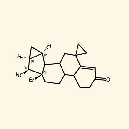 CC[C@]12CCC3C4CCC(=O)C=C4C4(CC4)CC3C1[C@@H]1C[C@@H]1[C@@H]2C#N